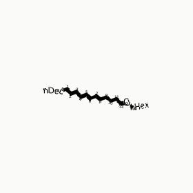 CCCCCCCCCCCCCCCCCCCCC[CH]OCCCCCC